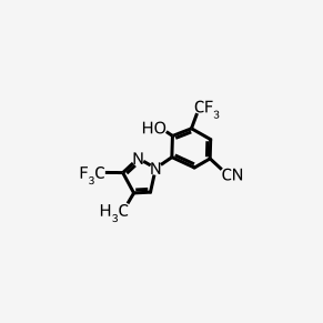 Cc1cn(-c2cc(C#N)cc(C(F)(F)F)c2O)nc1C(F)(F)F